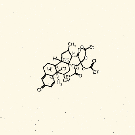 CCC(=O)OC(OC(=O)CC)(OC(=O)CC)C(=O)[C@H]1C(C)C[C@H]2[C@@H]3CCC4=CC(=O)C=C[C@]4(C)[C@@]3(Cl)C(O)C[C@]12C